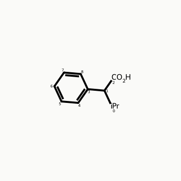 CC(C)C(C(=O)O)c1ccccc1